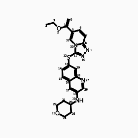 C=C(OCC)c1ccc2nnc(Sc3ccc4cc(NC5CCOCC5)cnc4c3)n2c1